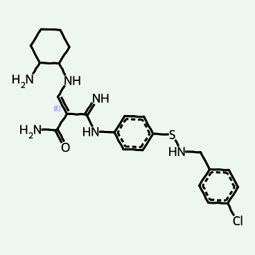 N=C(Nc1ccc(SNCc2ccc(Cl)cc2)cc1)/C(=C\NC1CCCCC1N)C(N)=O